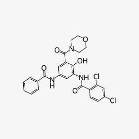 O=C(Nc1cc(NC(=O)c2ccc(Cl)cc2Cl)c(O)c(C(=O)N2CCOCC2)c1)c1ccccc1